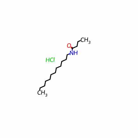 CCCCCCCCCCCCNC(=O)CCC.Cl